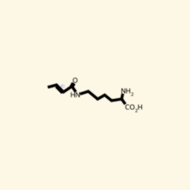 C/C=C/C(=O)NCCCCC(N)C(=O)O